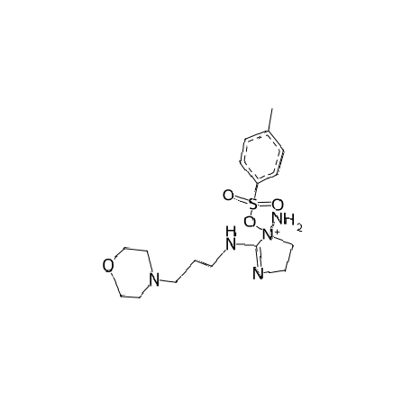 Cc1ccc(S(=O)(=O)O[N+]2(N)CCN=C2NCCCN2CCOCC2)cc1